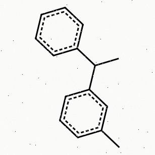 Cc1cccc(C(C)c2ccccc2)c1